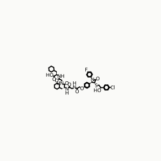 O=C(COc1ccc([C@@H]2[C@@H](SCC(O)c3ccc(Cl)cc3)C(=O)N2c2ccc(F)cc2)cc1)NCC(=O)N[C@H](CC1CCCCC1)C(=O)NCC(=O)N[C@H](CC1CCCCC1)C(=O)O